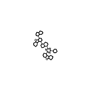 c1ccc(-c2nc(-c3cccc4c(-c5ccc(-c6cccc7ccccc67)c6oc7ccccc7c56)cccc34)nc(-c3cccc4oc5ccccc5c34)n2)cc1